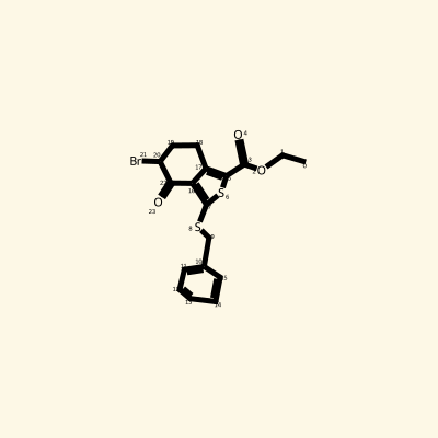 CCOC(=O)c1sc(SCc2ccccc2)c2c1CCC(Br)C2=O